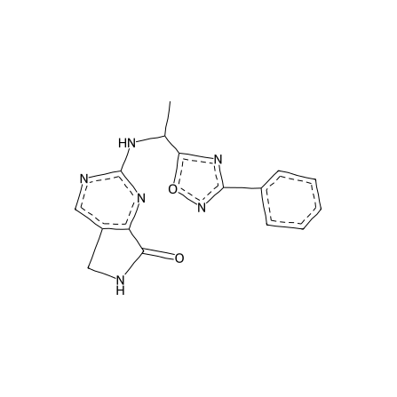 CC(Nc1ncc2c(n1)C(=O)NC2)c1nc(-c2ccccc2)no1